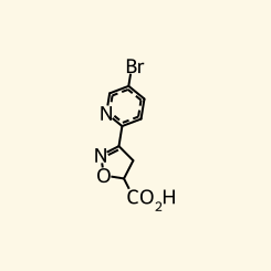 O=C(O)C1CC(c2ccc(Br)cn2)=NO1